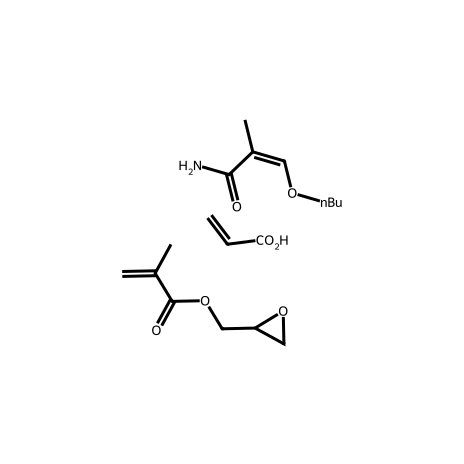 C=C(C)C(=O)OCC1CO1.C=CC(=O)O.CCCCOC=C(C)C(N)=O